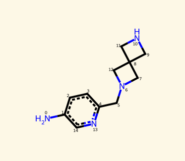 Nc1ccc(CN2CC3(CNC3)C2)nc1